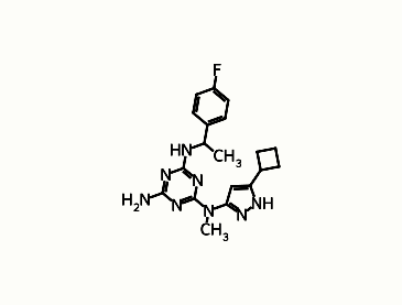 CC(Nc1nc(N)nc(N(C)c2cc(C3CCC3)[nH]n2)n1)c1ccc(F)cc1